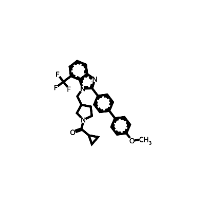 COc1ccc(-c2ccc(-c3nc4cccc(C(F)(F)F)c4n3CC3CCN(C(=O)C4CC4)C3)cc2)cc1